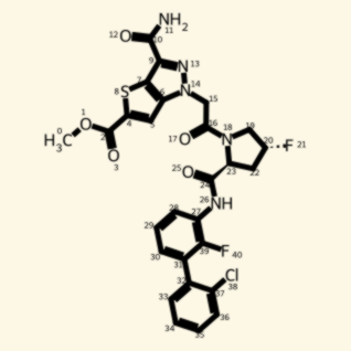 COC(=O)c1cc2c(s1)c(C(N)=O)nn2CC(=O)N1C[C@H](F)C[C@H]1C(=O)Nc1cccc(-c2ccccc2Cl)c1F